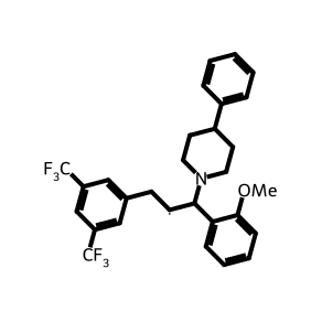 COc1ccccc1C([CH]Cc1cc(C(F)(F)F)cc(C(F)(F)F)c1)N1CCC(c2ccccc2)CC1